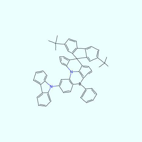 CC(C)(C)c1ccc2c(c1)C1(c3cc(C(C)(C)C)ccc3-2)c2ccccc2N2c3cc(-n4c5ccccc5c5ccccc54)ccc3B(c3ccccc3)c3cccc1c32